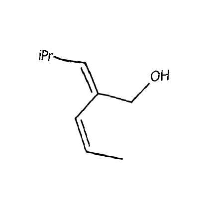 C/C=C\C(=C/C(C)C)CO